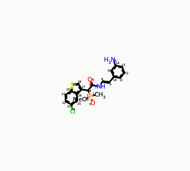 COP(C)(=O)C(C(=O)N/C=C/c1cccc(N)c1)c1csc2ccc(Cl)cc12